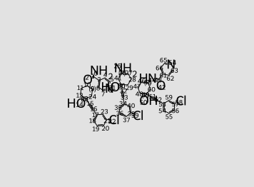 NC(=O)c1ccncc1[C@H]1CCC[C@@](O)(C#Cc2cccc(Cl)c2)C1.N[C@@H]1CCC[C@](O)(C#Cc2cccc(Cl)c2)C1.O=C(N[C@@H]1CCC[C@](O)(C#Cc2cccc(Cl)c2)C1)c1ccncc1